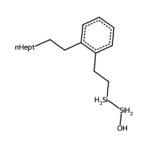 CCCCCCCCCc1ccccc1CC[SiH2][SiH2]O